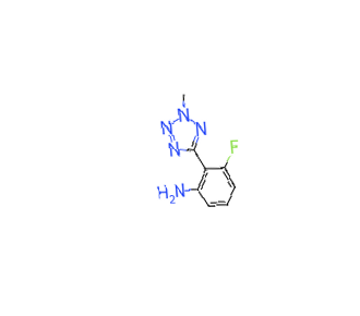 Cn1nnc(-c2c(N)cccc2F)n1